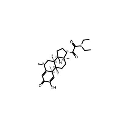 CCN(CC)C(=O)C(=O)[C@H]1CC[C@H]2[C@@H]3C[C@H](C)C4=CC(=O)C(O)=C[C@]4(C)[C@H]3CC[C@]12C